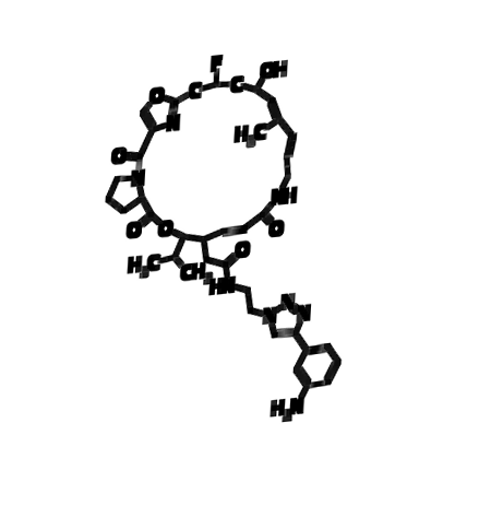 CC1=C\C(O)CC(F)Cc2nc(co2)C(=O)N2CCCC2C(=O)OC(C(C)C)C(CC(=O)NCCn2cc(-c3cccc(N)c3)nn2)/C=C/C(=O)NC\C=C\1